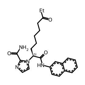 CCC(=O)CCCCC[C@@H](C(=O)Nc1ccc2ccccc2c1)n1ccnc1C(N)=O